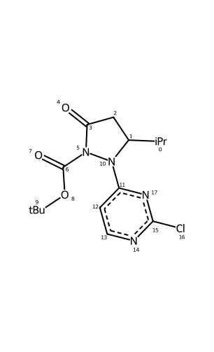 CC(C)C1CC(=O)N(C(=O)OC(C)(C)C)N1c1ccnc(Cl)n1